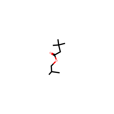 CC(C)COC(=O)CC(C)(C)C